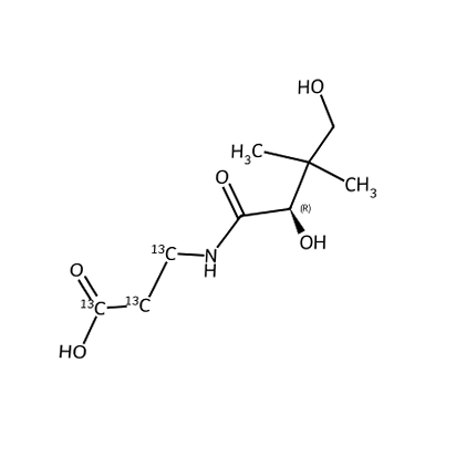 CC(C)(CO)[C@@H](O)C(=O)N[13CH2][13CH2][13C](=O)O